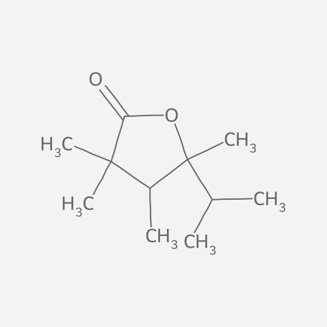 CC(C)C1(C)OC(=O)C(C)(C)C1C